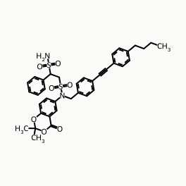 CCCCc1ccc(C#Cc2ccc(CN(c3ccc4c(c3)C(=O)OC(C)(C)O4)S(=O)(=O)CC(c3ccccc3)S(N)(=O)=O)cc2)cc1